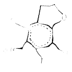 O=[N+]([O-])c1c(F)c(Cl)c2c([n+]1[O-])CCO2